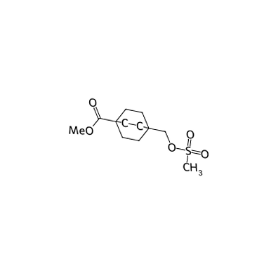 COC(=O)C12CCC(COS(C)(=O)=O)(CC1)CC2